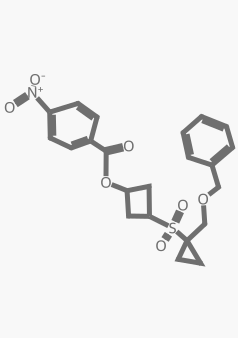 O=C(OC1CC(S(=O)(=O)C2(COCc3ccccc3)CC2)C1)c1ccc([N+](=O)[O-])cc1